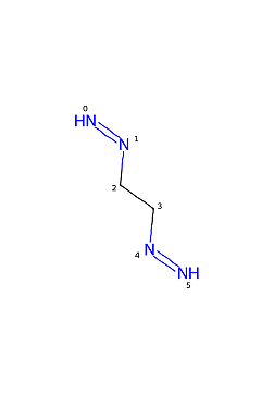 N=NCCN=N